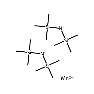 C[Si](C)(C)[N-][Si](C)(C)C.C[Si](C)(C)[N-][Si](C)(C)C.[Mn+2]